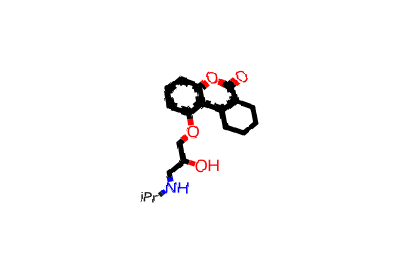 CC(C)NCC(O)COc1cccc2oc(=O)c3c(c12)CCCC3